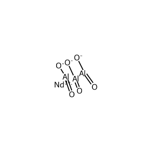 [Nd+3].[O]=[Al][O-].[O]=[Al][O-].[O]=[Al][O-]